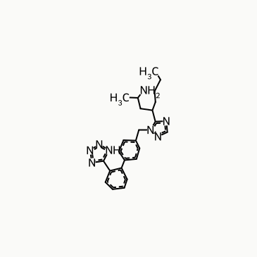 CCCCC(CC(C)N)c1ncnn1Cc1ccc(-c2ccccc2-c2nnn[nH]2)cc1